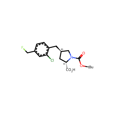 CC(C)(C)OC(=O)N1C[C@H](Cc2ccc(CF)cc2Cl)C[C@H]1C(=O)O